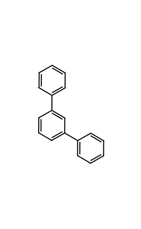 [c]1ccc[c]c1-c1cccc(-c2ccccc2)c1